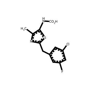 Cc1nc(Cc2cc(F)cc(Cl)c2)sc1NC(=O)O